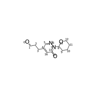 O=CCCc1cnn(C2CCCCO2)c(=O)c1